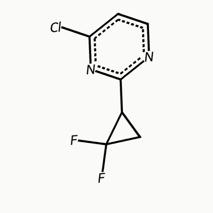 FC1(F)CC1c1nccc(Cl)n1